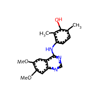 COc1cc2ncnc(Nc3ccc(C)c(O)c3C)c2cc1OC